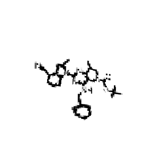 Cc1cc2c(C#N)cccc2n1-c1nc(NCc2ccccc2)c2c(n1)C(C)CN(C(=O)OC(C)(C)C)C2